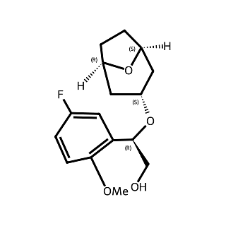 COc1ccc(F)cc1[C@H](CO)O[C@@H]1C[C@H]2CC[C@@H](C1)O2